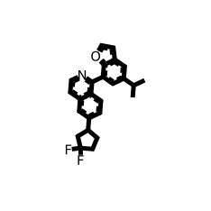 CC(C)c1cc(-c2nccc3cc(C4CCC(F)(F)C4)ccc23)c2occc2c1